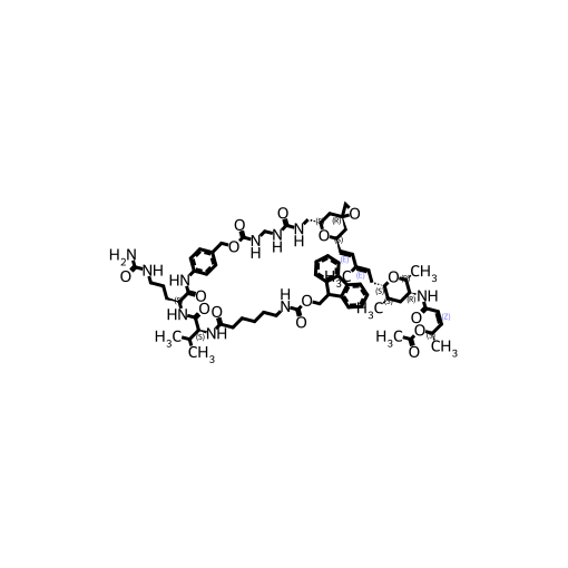 CC(=O)O[C@@H](C)/C=C\C(=O)N[C@@H]1C[C@H](C)[C@H](C/C=C(C)/C=C/[C@@H]2C[C@]3(CO3)C[C@@H](CNC(=O)NCNC(=O)OCc3ccc(NC(=O)[C@H](CCCNC(N)=O)NC(=O)[C@@H](NC(=O)CCCCCNC(=O)OCC4c5ccccc5-c5ccccc54)C(C)C)cc3)O2)O[C@@H]1C